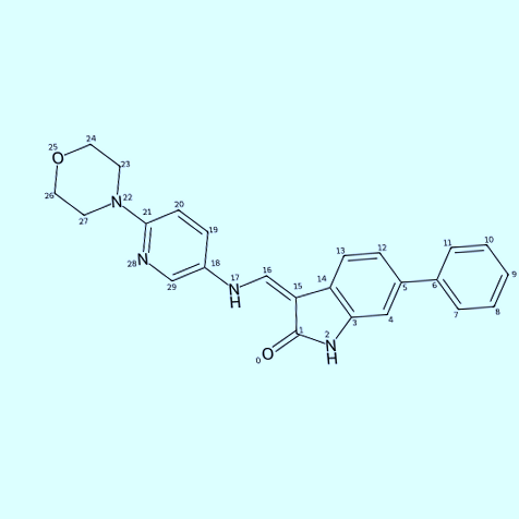 O=C1Nc2cc(-c3ccccc3)ccc2C1=CNc1ccc(N2CCOCC2)nc1